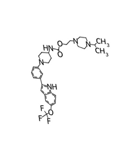 CC(C)N1CCN(CCOC(=O)NC2CCN(c3cccc(-c4cc5cc(OC(F)(F)F)ccc5[nH]4)c3)CC2)CC1